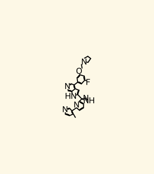 Cc1ccncc1-c1ccc2[nH]nc(-c3cc4c(-c5cc(F)cc(OCCN6CCCC6)c5)cncc4[nH]3)c2n1